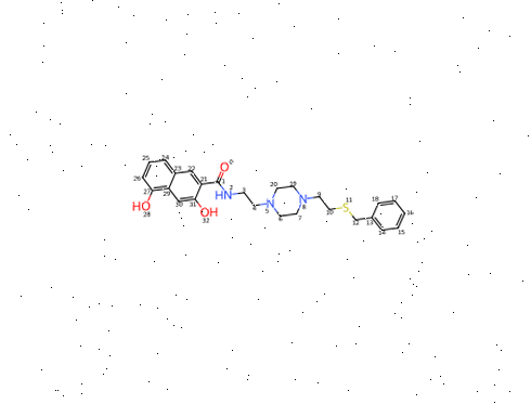 O=C(NCCN1CCN(CCSCc2ccccc2)CC1)c1cc2cccc(O)c2cc1O